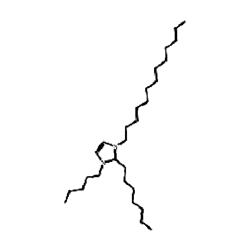 CCCCCCCCCCCCCN1C=CN(CCCCC)C1CCCCCCC